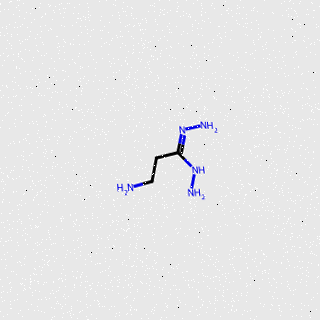 NCC/C(=N/N)NN